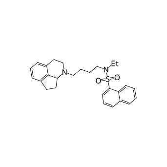 CCN(CCCCN1CCc2cccc3c2C1CC3)S(=O)(=O)c1cccc2ccccc12